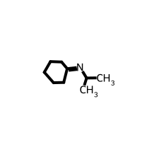 CC(C)N=C1CCCCC1